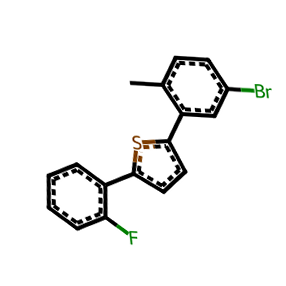 Cc1ccc(Br)cc1-c1ccc(-c2ccccc2F)s1